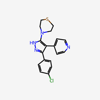 Clc1ccc(-c2n[nH]c(N3CCSCC3)c2-c2ccncc2)cc1